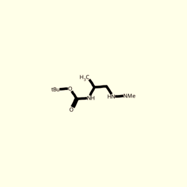 CNNCC(C)NC(=O)OC(C)(C)C